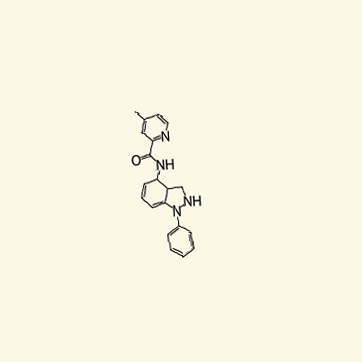 Cc1ccnc(C(=O)NC2C=CC=C3C2CNN3c2ccccc2)c1